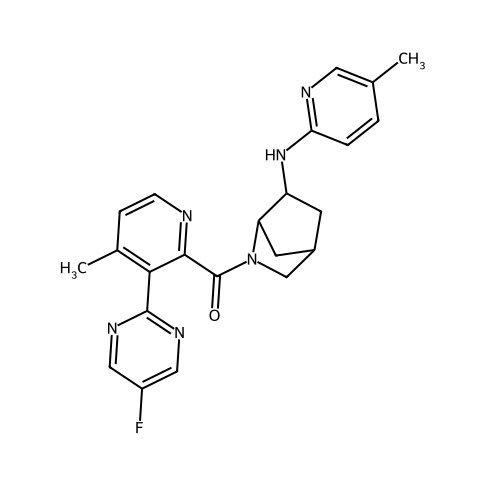 Cc1ccc(NC2CC3CC2N(C(=O)c2nccc(C)c2-c2ncc(F)cn2)C3)nc1